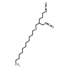 CCCCCCCCCCCCOCC(CCCN=C=O)CN=C=O